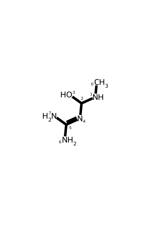 CNC(O)N=C(N)N